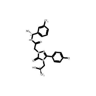 N#C[C@@H](NC(=O)Cn1nc(-c2ccc(Cl)cc2)n(C[C@H](O)C(F)(F)F)c1=O)c1cccc(C(F)(F)F)c1